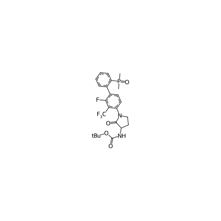 CC(C)(C)OC(=O)NC1CCN(c2ccc(-c3ccccc3P(C)(C)=O)c(F)c2C(F)(F)F)C1=O